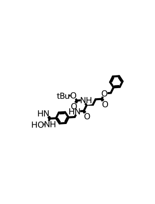 CC(C)(C)OC(=O)N[C@@H](CCC(=O)OCc1ccccc1)C(=O)NCc1ccc(C(=N)NO)cc1